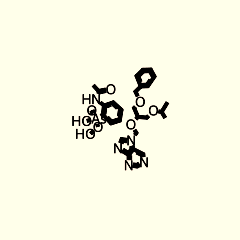 CC(=O)Nc1ccccc1[As](=O)(O)OO.CC(C)OCC(COCc1ccccc1)OCn1cnc2ncncc21